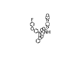 O=C(CN1CCC(N2CCOCC2)CC1)NC(COCc1ccccc1)C(=O)Nc1ccc(Oc2ccc(F)cc2)cc1